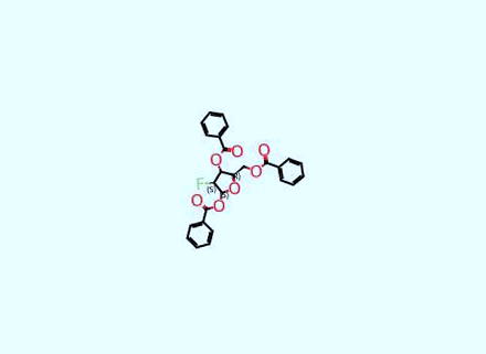 O=C(OC[C@H]1O[C@@H](OC(=O)c2ccccc2)[C@@H](F)C1OC(=O)c1ccccc1)c1ccccc1